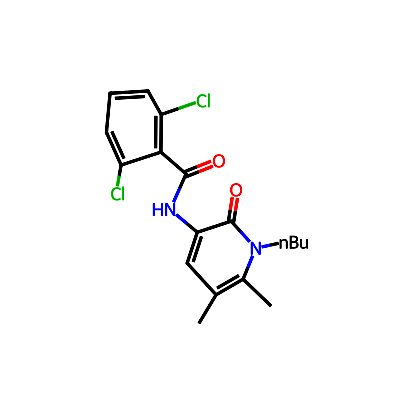 CCCCn1c(C)c(C)cc(NC(=O)c2c(Cl)cccc2Cl)c1=O